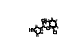 CC(C)[C@H](Oc1c(Cl)cccc1Cl)C1CCNC1